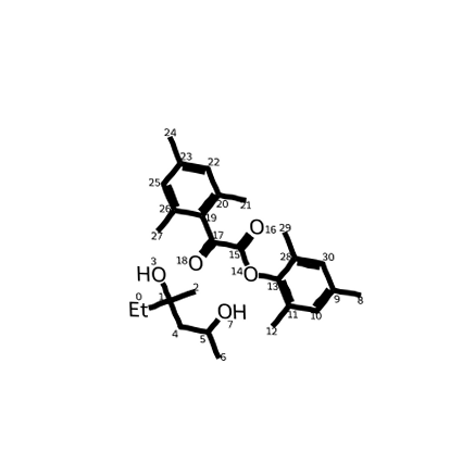 CCC(C)(O)CC(C)O.Cc1cc(C)c(OC(=O)C(=O)c2c(C)cc(C)cc2C)c(C)c1